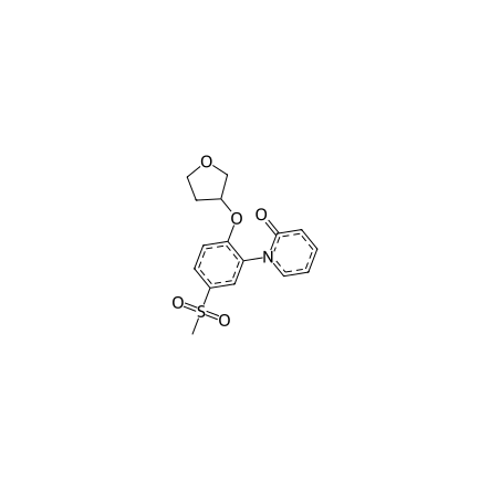 CS(=O)(=O)c1ccc(OC2CCOC2)c(-n2ccccc2=O)c1